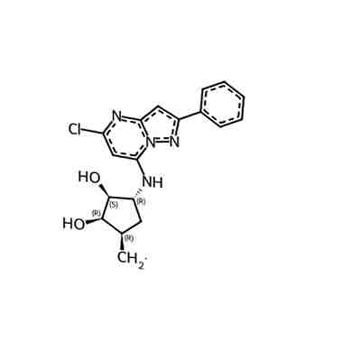 [CH2][C@@H]1C[C@@H](Nc2cc(Cl)nc3cc(-c4ccccc4)nn23)[C@H](O)[C@@H]1O